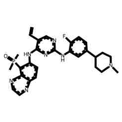 C=Cc1cnc(Nc2cc(C3CCN(C)CC3)ccc2F)nc1Nc1ccc2nccnc2c1P(C)(C)=O